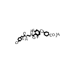 O=C(NCCNC(=O)c1c(F)cc(O[C@H]2CC[C@@H](C(=O)O)CC2)cc1F)c1cc2ccc(Cl)cc2s1